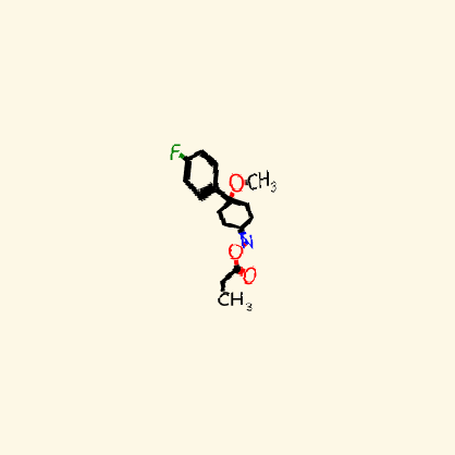 CCC(=O)ON=C1CCC(OC)(c2ccc(F)cc2)CC1